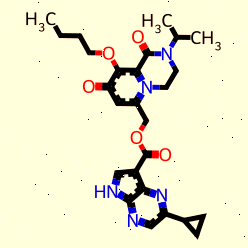 CCCCOc1c2n(c(COC(=O)c3c[nH]c4ncc(C5CC5)nc34)cc1=O)CCN(C(C)C)C2=O